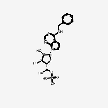 O=P(O)(O)OC(O)[C@H]1O[C@@H](n2ccc3c(NCc4ccccc4)ncnc32)[C@H](O)[C@@H]1O